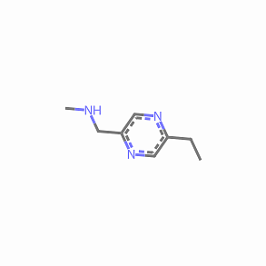 CCc1cnc(CNC)cn1